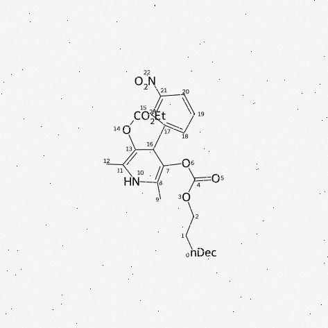 CCCCCCCCCCCCOC(=O)OC1=C(C)NC(C)=C(OC(=O)OCC)C1c1cccc([N+](=O)[O-])c1